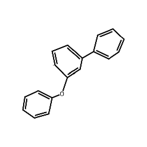 [c]1ccc(-c2ccccc2)cc1Oc1ccccc1